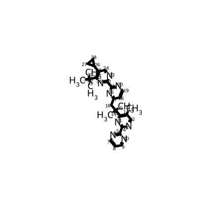 Cc1cnc(-c2ncccn2)nc1C(C)(C)Cc1ccnc(-c2ncc(C3CC3)c(C(C)(C)C)n2)n1